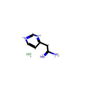 Cl.N=C(N)Cc1ccncn1